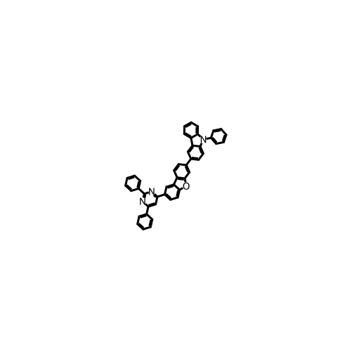 c1ccc(-c2cc(-c3ccc4oc5cc(-c6ccc7c(c6)c6ccccc6n7-c6ccccc6)ccc5c4c3)nc(-c3ccccc3)n2)cc1